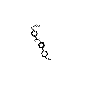 CCCCCCCCOc1ccc(C(=O)Oc2ccc(C3CCC(CCCCC)CC3)cc2)cc1